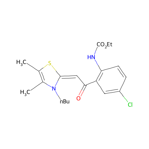 CCCCN1C(=CC(=O)c2cc(Cl)ccc2NC(=O)OCC)SC(C)=C1C